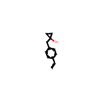 C=Cc1ccc(CC2(O)CC2)cc1